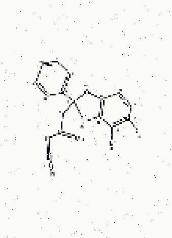 [N-]=[N+]=NC(=O)CC1(c2ccccc2)Oc2ccc(Cl)c(Br)c2O1